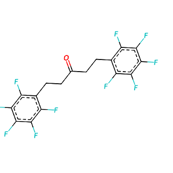 O=C(CCc1c(F)c(F)c(F)c(F)c1F)CCc1c(F)c(F)c(F)c(F)c1F